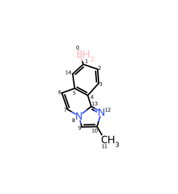 Bc1ccc2c(ccn3cc(C)nc23)c1